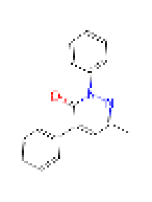 Cc1cc(-c2ccccc2)c(=O)n(-c2ccccc2)n1